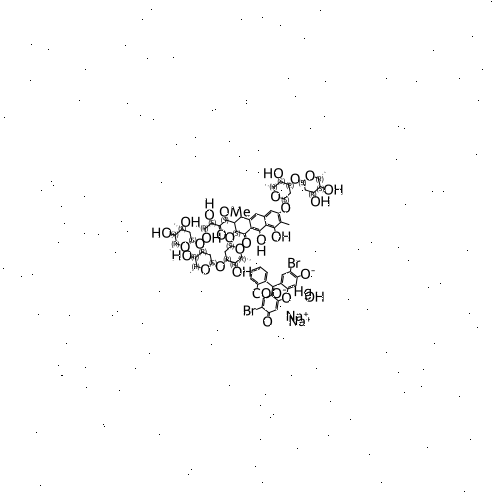 CO[C@H](C(=O)[C@@H](O)[C@@H](C)O)C1Cc2cc3cc(O[C@H]4C[C@@H](O[C@H]5C[C@@H](O)[C@H](O)[C@@H](C)O5)[C@@H](O)[C@@H](C)O4)c(C)c(O)c3c(O)c2C(=O)[C@H]1O[C@H]1C[C@@H](O[C@H]2C[C@@H](O[C@H]3C[C@](C)(O)[C@H](O)[C@@H](C)O3)[C@H](O)[C@@H](C)O2)[C@H](O)[C@@H](C)O1.O=C([O-])c1ccccc1-c1c2cc(Br)c(=O)cc-2oc2[c]([Hg][OH])c([O-])c(Br)cc12.[Na+].[Na+]